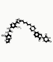 Cc1cc(NC(=O)Nc2cnc3ccnn3c2C(C)(C)C)cnc1-c1noc(CCCCCN2CCN(c3ccc4c(c3)CN(C3CCC(=O)NC3=O)C4=O)CC2)n1